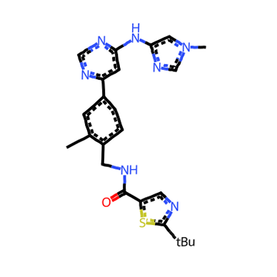 Cc1cc(-c2cc(Nc3cn(C)cn3)ncn2)ccc1CNC(=O)c1cnc(C(C)(C)C)s1